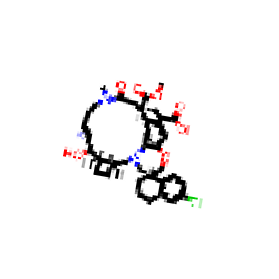 COC(=O)[C@]1(CCC(=O)O)CC(=O)N(C)CC/C=C/C(O)[C@@H]2CC[C@H]2CN2C[C@@]3(CCCc4cc(Cl)ccc43)COc3ccc1cc32